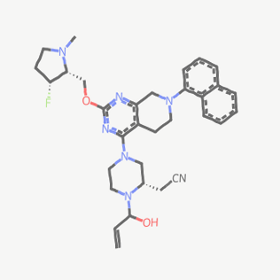 C=CC(O)N1CCN(c2nc(OC[C@@H]3[C@H](F)CCN3C)nc3c2CCN(c2cccc4ccccc24)C3)C[C@@H]1CC#N